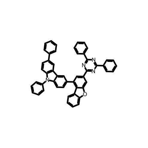 c1ccc(-c2ccc3c(c2)c2cc(-c4cc(-c5nc(-c6ccccc6)nc(-c6ccccc6)n5)cc5oc6ccccc6c45)ccc2n3-c2ccccc2)cc1